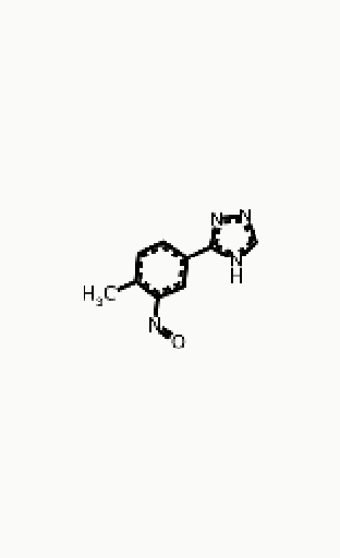 Cc1ccc(-c2nnc[nH]2)cc1N=O